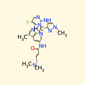 CCn1cc(Nc2ncc(F)c(-n3cc(C)c4cc(NC(=O)/C=C/CN(C)C)cnc43)n2)c(C)n1